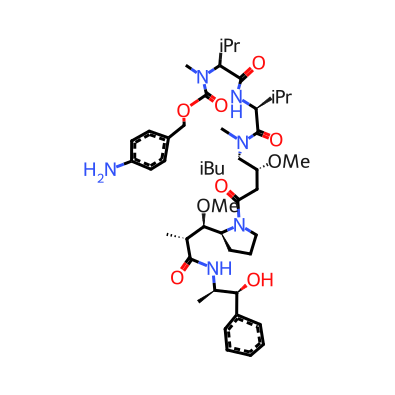 CC[C@H](C)[C@@H]([C@@H](CC(=O)N1CCC[C@H]1[C@H](OC)[C@@H](C)C(=O)N[C@H](C)[C@@H](O)c1ccccc1)OC)N(C)C(=O)[C@@H](NC(=O)C(C(C)C)N(C)C(=O)OCc1ccc(N)cc1)C(C)C